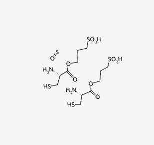 N[C@@H](CS)C(=O)OCCCS(=O)(=O)O.N[C@@H](CS)C(=O)OCCCS(=O)(=O)O.O=S